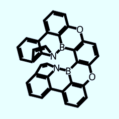 c1cc2c3c(c1)-c1cccc4ccn(c14)B3c1c(ccc3c1B1c4c(cccc4-c4cccc5ccn1c45)O3)O2